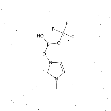 CN1C=CN(OB(O)OC(F)(F)F)C1